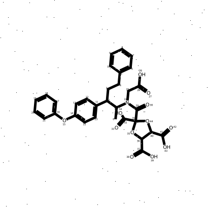 CC(C(CCc1ccccc1)c1ccc(Oc2ccccc2)cc1)N(CC(=O)O)C(=O)C1(C(=O)O)OC(C(=O)O)C(C(=O)O)O1